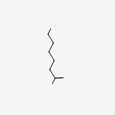 [CH2]C(C)[CH]CCCCC